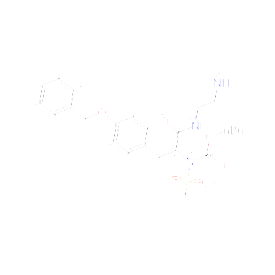 CCCCOC(=O)N(C(Cc1ccc(OCc2ccccc2)cc1)C(=O)NCCN)S(C)(=O)=O